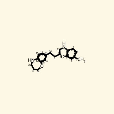 Cc1ccc2c(c1)OC(CCc1ccc3c(c1)OCCCN3)CN2